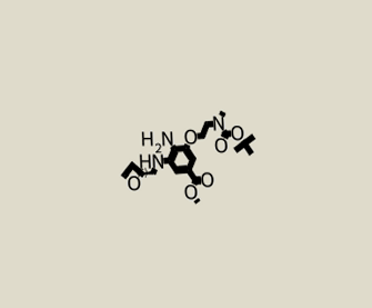 COC(=O)c1cc(NC[C@@H]2CCO2)c(N)c(OCCN(C)C(=O)OC(C)(C)C)c1